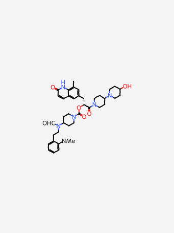 CNc1ccccc1CCN(C=O)C1CCN(C(=O)O[C@H](Cc2cc(C)c3[nH]c(=O)ccc3c2)C(=O)N2CCC(N3CCC(O)CC3)CC2)CC1